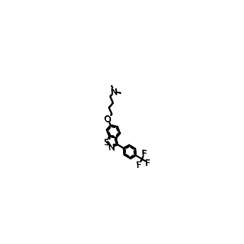 CN(C)CCCCOc1ccc2c(-c3ccc(C(F)(F)F)cc3)nsc2c1